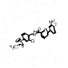 CS(=O)(=O)c1ccc(CNC(=O)c2cccc(-c3cccc(N)c3)n2)c(Cl)c1